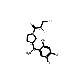 N[C@H](c1cc(Cl)c(Cl)cc1O)[C@H]1CCN(C(=O)[C@H](O)CO)C1